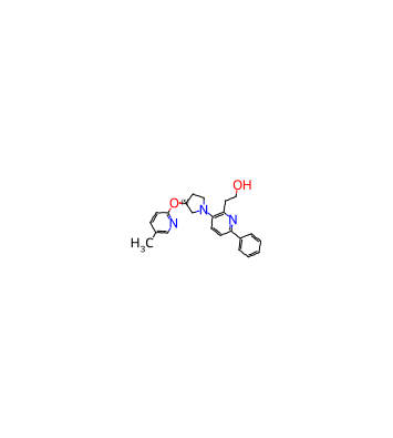 Cc1ccc(O[C@H]2CCN(c3ccc(-c4ccccc4)nc3CCO)C2)nc1